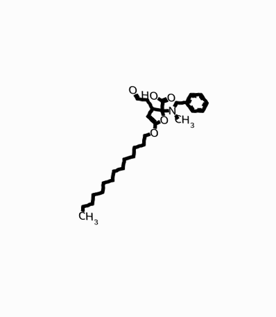 CCCCCCCCCCCCCCOC1=CC(CC=O)C(C(=O)O)(N(C)Cc2ccccc2)O1